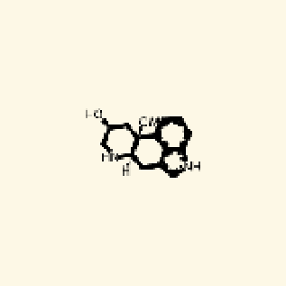 CO[C@]12CC(O)CN[C@@H]1Cc1c[nH]c3cccc2c13